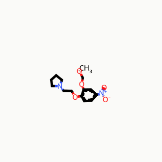 COCOc1cc([N+](=O)[O-])ccc1OCCN1CCCC1